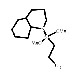 CO[Si](CCC(F)(F)F)(OC)N1CCCC2CCCCC21